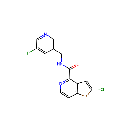 O=C(NCc1cncc(F)c1)c1nccc2sc(Cl)cc12